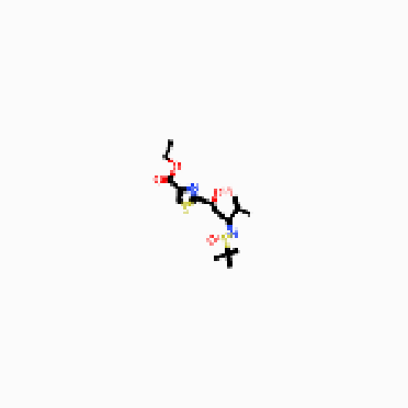 CCOC(=O)c1csc(C(O)C/C(=N\[S@@+]([O-])C(C)(C)C)C(C)C)n1